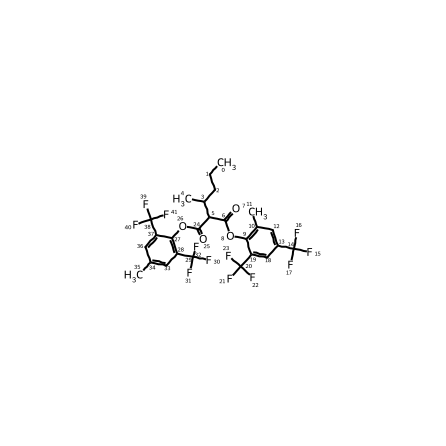 CCCC(C)C(C(=O)Oc1c(C)cc(C(F)(F)F)cc1C(F)(F)F)C(=O)Oc1c(C(F)(F)F)cc(C)cc1C(F)(F)F